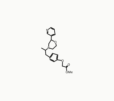 COC(=O)COc1ccc(CC(C)N2CCOC(c3cccnc3)C2)cc1